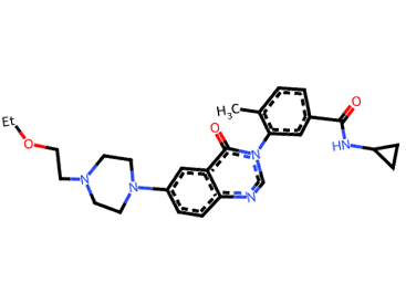 CCOCCN1CCN(c2ccc3ncn(-c4cc(C(=O)NC5CC5)ccc4C)c(=O)c3c2)CC1